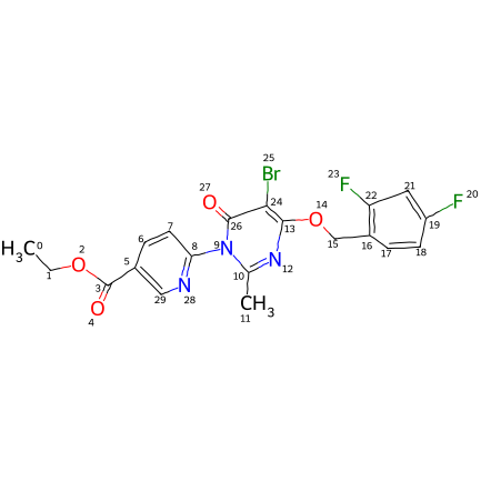 CCOC(=O)c1ccc(-n2c(C)nc(OCc3ccc(F)cc3F)c(Br)c2=O)nc1